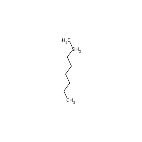 [CH2][SiH2]CCCCCC